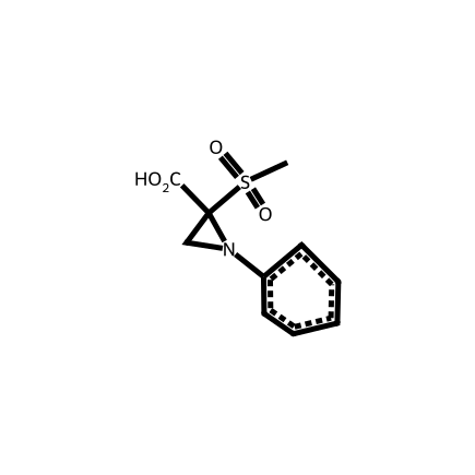 CS(=O)(=O)C1(C(=O)O)CN1c1ccccc1